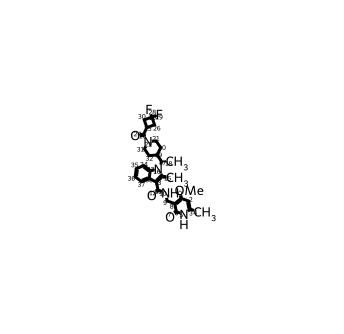 COc1cc(C)[nH]c(=O)c1CNC(=O)c1c(C)n([C@H](C)C2CCN(C(=O)C3CC(F)(F)C3)CC2)c2ccccc12